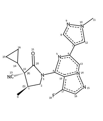 C[C@@H]1CN(c2nc(-c3cnn(C)c3)cn3ncc(F)c23)C(=O)[C@]1(C#N)C1CC1